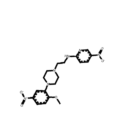 COc1ccc([N+](=O)[O-])cc1N1CCN(CCNc2ccc([N+](=O)[O-])cn2)CC1